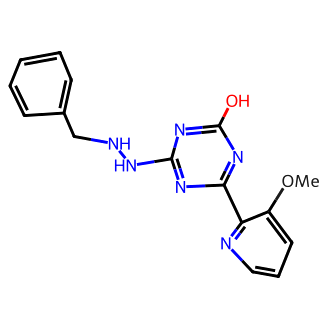 COc1cccnc1-c1nc(O)nc(NNCc2ccccc2)n1